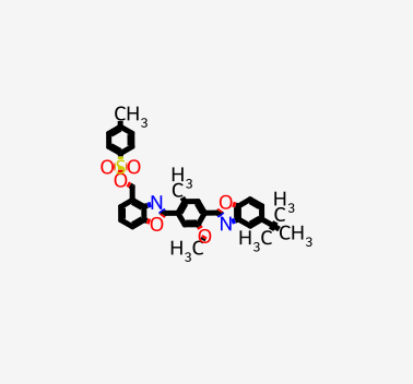 COc1cc(-c2nc3c(COS(=O)(=O)c4ccc(C)cc4)cccc3o2)c(C)cc1-c1nc2cc(C(C)(C)C)ccc2o1